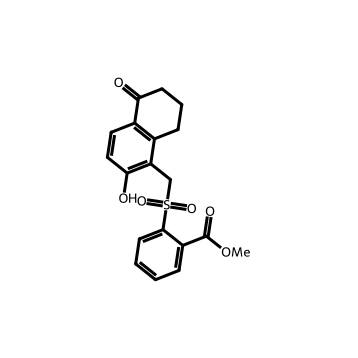 COC(=O)c1ccccc1S(=O)(=O)Cc1c(O)ccc2c1CCCC2=O